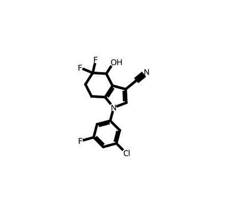 N#Cc1cn(-c2cc(F)cc(Cl)c2)c2c1C(O)C(F)(F)CC2